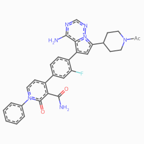 CC(=O)N1CCC(c2cc(-c3ccc(-c4ccn(-c5ccccc5)c(=O)c4C(N)=O)cc3F)c3c(N)ncnn23)CC1